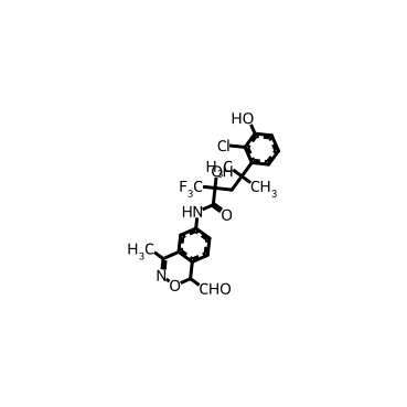 CC1=NOC(C=O)c2ccc(NC(=O)C(O)(CC(C)(C)c3cccc(O)c3Cl)C(F)(F)F)cc21